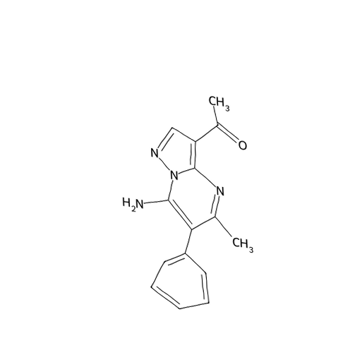 CC(=O)c1cnn2c(N)c(-c3ccccc3)c(C)nc12